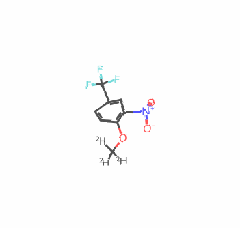 [2H]C([2H])([2H])Oc1ccc(C(F)(F)F)cc1[N+](=O)[O-]